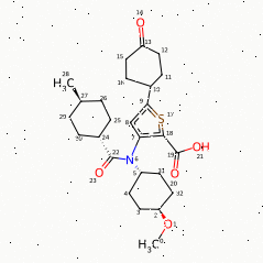 CO[C@H]1CC[C@H](N(c2cc(C3CCC(=O)CC3)sc2C(=O)O)C(=O)[C@H]2CC[C@H](C)CC2)CC1